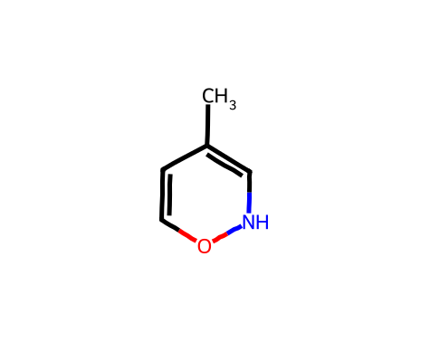 CC1=CNOC=C1